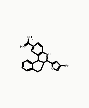 N=C(N)c1ccc2c(c1)C1c3ccccc3CCC1C(c1cc(Br)co1)N2